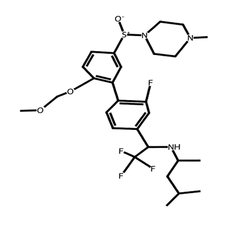 COCOc1ccc([S+]([O-])N2CCN(C)CC2)cc1-c1ccc(C(NC(C)CC(C)C)C(F)(F)F)cc1F